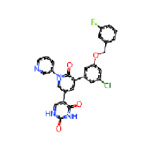 O=c1[nH]cc(-c2cc(-c3cc(Cl)cc(OCc4cccc(F)c4)c3)c(=O)n(-c3cccnc3)c2)c(=O)[nH]1